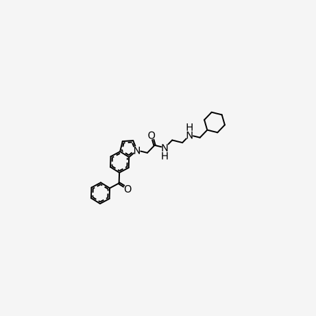 O=C(Cn1ccc2ccc(C(=O)c3ccccc3)cc21)NCCNCC1CCCCC1